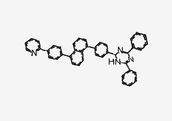 c1ccc(C2=NC(c3ccc(-c4cccc5c(-c6ccc(-c7ccccn7)cc6)cccc45)cc3)NC(c3ccccc3)=N2)cc1